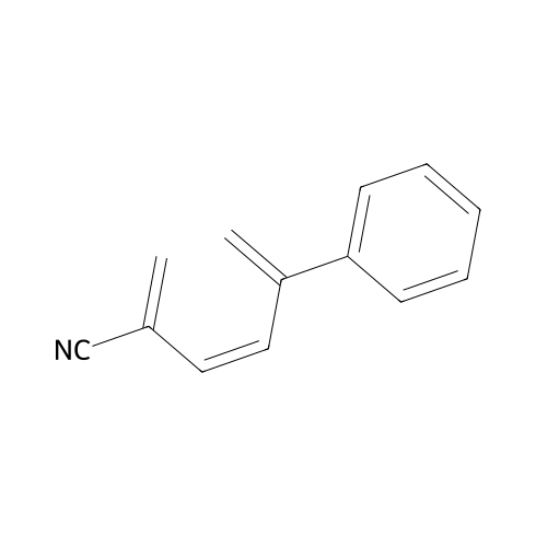 C=C(C#N)/C=C\C(=C)c1ccccc1